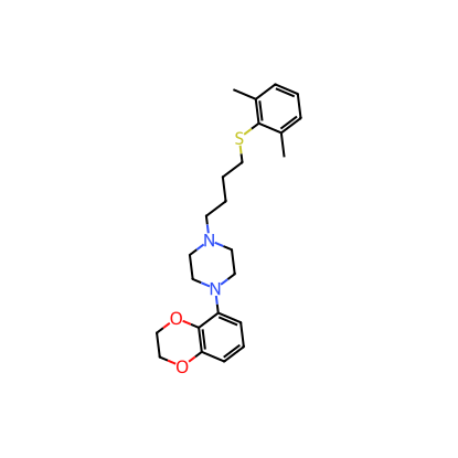 Cc1cccc(C)c1SCCCCN1CCN(c2cccc3c2OCCO3)CC1